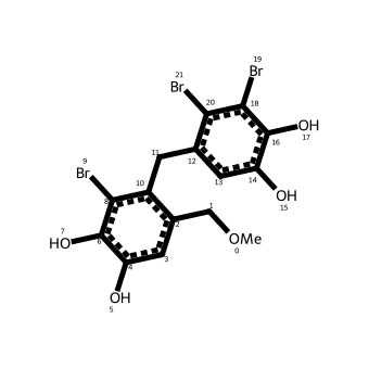 COCc1cc(O)c(O)c(Br)c1Cc1cc(O)c(O)c(Br)c1Br